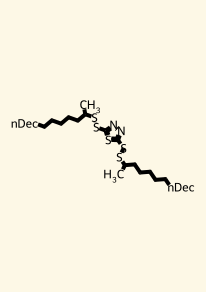 CCCCCCCCCCCCCCCC(C)SSc1nnc(SSC(C)CCCCCCCCCCCCCCC)s1